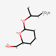 CC(CC(=O)O)OC1CCCC(CO)O1